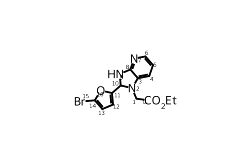 CCOC(=O)CN1c2cccnc2NC1c1ccc(Br)o1